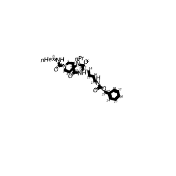 CCCCCCNC(=O)N1CCC2(CC1)C(=O)N[C@@H](CCCCNC(=O)OCc1ccccc1)C(=O)N2CCC